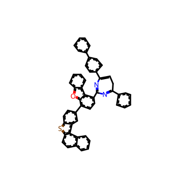 C1=C(c2ccc(-c3ccccc3)cc2)N=C(c2ccc(-c3ccc4sc5ccc6ccccc6c5c4c3)c3oc4ccccc4c23)N=C(c2ccccc2)C1